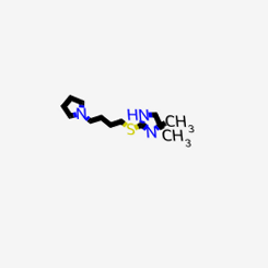 CC1(C)CNC(SCCCCN2CCCC2)=N1